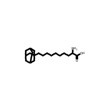 NC(CCCCCCCCC12CC3CC(CC(C3)C1)C2)C(=O)O